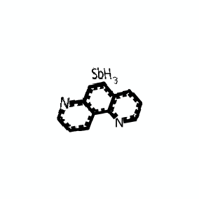 [SbH3].c1cnc2c(c1)ccc1ncccc12